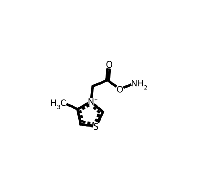 Cc1csc[n+]1CC(=O)ON